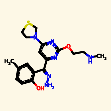 CNCCOc1nc(C(=NN)c2cc(C)ccc2O)cc(N2CCSC2)n1